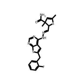 CC1=CC(C)(C(N)=O)C(C=NNc2ncnc3sc(Cc4ccccc4F)cc23)S1